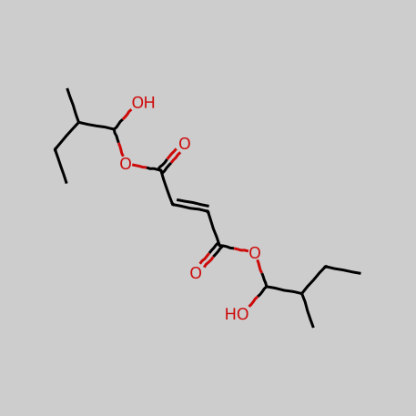 CCC(C)C(O)OC(=O)C=CC(=O)OC(O)C(C)CC